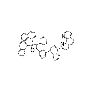 c1ccc(-c2c(-c3cccc(-c4ccc(-c5ccc6ccc7cccnc7c6n5)c5ccccc45)c3)oc(-c3cccc4ccccc34)c2-c2cccc3ccccc23)cc1